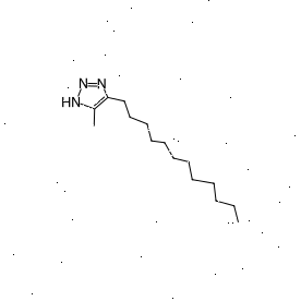 CCCCCCCCCCCCc1nn[nH]c1C